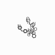 O=C(Nc1sc2c(c1C(=O)Nc1ccc(Cc3ccncc3)cc1)CCCC2)c1cncc(CN2CCOCC2)n1